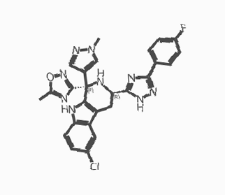 Cc1nc([C@]2(c3cnn(C)c3)N[C@@H](c3nc(-c4ccc(F)cc4)n[nH]3)Cc3c2[nH]c2ccc(Cl)cc32)no1